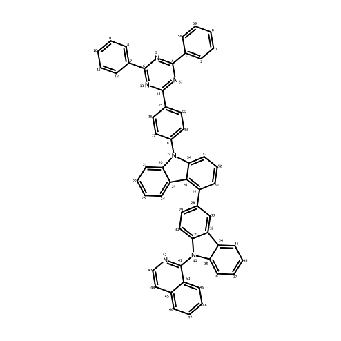 c1ccc(-c2nc(-c3ccccc3)nc(-c3ccc(-n4c5ccccc5c5c(-c6ccc7c(c6)c6ccccc6n7-c6nccc7ccccc67)cccc54)cc3)n2)cc1